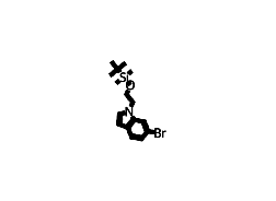 CC(C)(C)[Si](C)(C)OCCn1ccc2ccc(Br)cc21